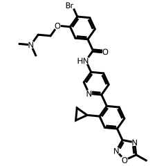 Cc1nc(-c2ccc(-c3ccc(NC(=O)c4ccc(Br)c(OCCN(C)C)c4)cn3)c(C3CC3)c2)no1